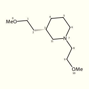 COCC[C@@H]1CCCN(CCOC)C1